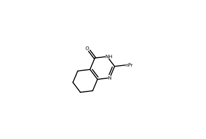 CCCc1nc2c(c(=O)[nH]1)CCCC2